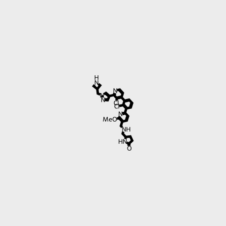 COc1nc(-c2cccc(-c3ccnc(-c4cnn(CC5CNC5)c4)c3Cl)c2Cl)ccc1CNCC1CCC(=O)N1